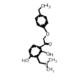 CCc1ccc(OCC(=O)c2ccc(O)c(CN(C)C)c2O)cc1